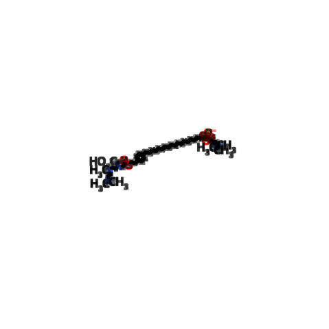 CN(C)CCN(C)CCN(CC(=O)O)CC(=O)OCCc1ccc(CCCCCCCCCCCCCCCCCCOP(=O)([O-])OCC[N+](C)(C)C)cc1